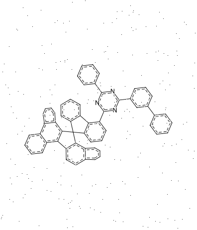 c1ccc(-c2cccc(-c3nc(-c4ccccc4)nc(-c4cccc5c4-c4ccccc4C54c5c(ccc6ccccc56)-c5c4c4ccccc4c4ccccc54)n3)c2)cc1